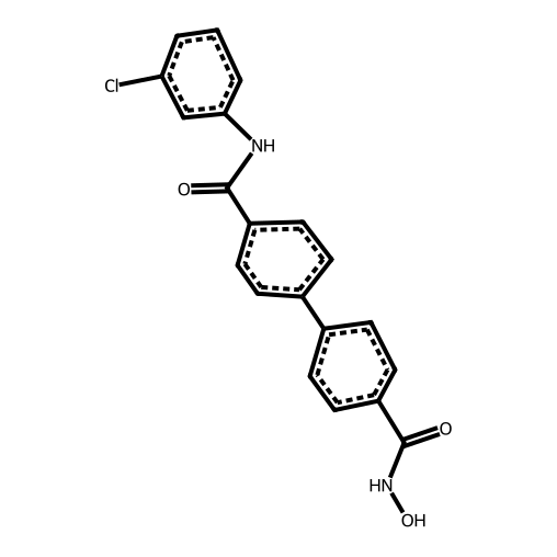 O=C(NO)c1ccc(-c2ccc(C(=O)Nc3cccc(Cl)c3)cc2)cc1